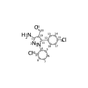 Nc1nn(-c2ccccc2Cl)c(-c2ccc(Cl)cc2)c1C=O